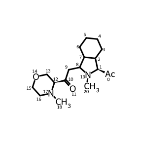 CC(=O)[C@@H]1C2CCCCC2C(CC(=O)[C@@H]2COCCN2C)N1C